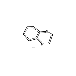 C1=C[N+]=c2ccccc2=N1.[Cl-]